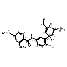 CNc1nc(OC)cnc1C(=O)Nc1ccc(F)c([C@]2(C)C=C(CF)OC(N)=N2)c1